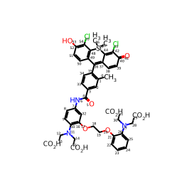 Cc1cc(C(=O)Nc2ccc(N(CC(=O)O)CC(=O)O)c(OCCOc3ccccc3N(CC(=O)O)CC(=O)O)c2)ccc1C1=C2C=CC(=O)C(Cl)=C2[Si](C)(C)c2c1ccc(O)c2Cl